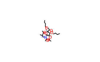 CCCCOC[C@@]1(C(C)=O)O[C@@H](N(/C=C(/C)C(C)=O)C(C)=O)[C@@H](OC(C)=O)C1OCCCC